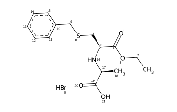 Br.CCOC(=O)[C@H](CSCc1ccccc1)N[C@@H](C)C(=O)O